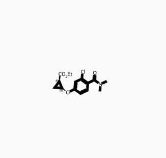 CCOC(=O)[C@@H]1C[C@H]1Oc1ccc(C(=O)N(C)C)c(Cl)c1